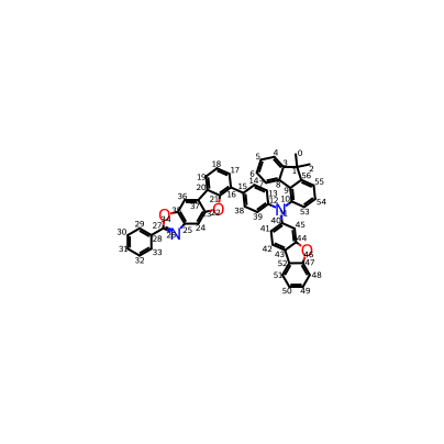 CC1(C)c2ccccc2-c2c(N(c3ccc(-c4cccc5c4oc4cc6nc(-c7ccccc7)oc6cc45)cc3)c3ccc4c(c3)oc3ccccc34)cccc21